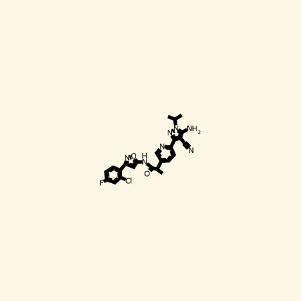 CC(C(=O)Nc1cc(-c2ccc(F)cc2Cl)no1)c1ccc(-c2nn(C(C)C)c(N)c2C#N)nc1